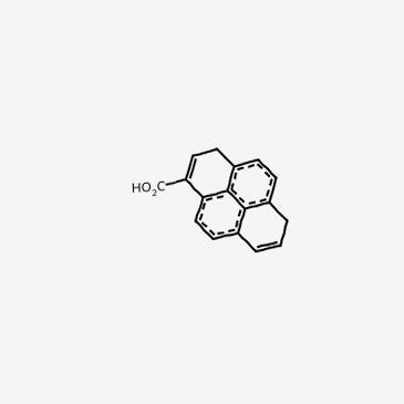 O=C(O)C1=CCc2ccc3c4c(ccc1c24)C=CC3